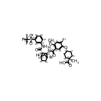 COc1cc(F)c(O[C@H]2CC[C@@](C)(C(=O)O)CC2)cc1C(=O)N[C@@H]1[C@H]2CC[C@H](C2)[C@@H]1C(=O)Nc1cccc(S(=O)(=O)C(F)(F)F)c1